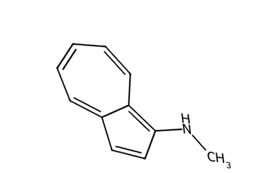 CNc1ccc2cccccc1-2